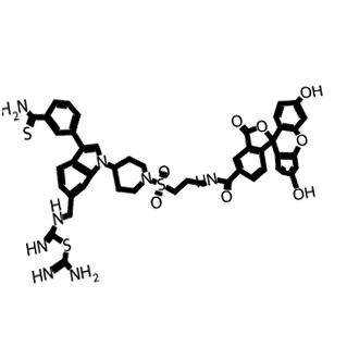 N=C(N)SC(=N)NCc1ccc2c(-c3cccc(C(N)=S)c3)cn(C3CCN(S(=O)(=O)CCCNC(=O)c4ccc5c(c4)C(=O)OC54c5ccc(O)cc5Oc5cc(O)ccc54)CC3)c2c1